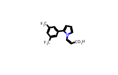 O=C(O)/C=C\n1cccc1-c1cc(C(F)(F)F)cc(C(F)(F)F)c1